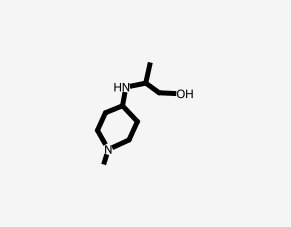 CC(CO)NC1CCN(C)CC1